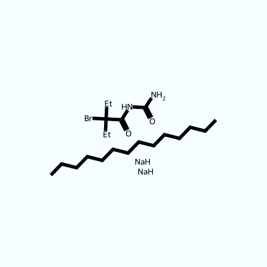 CCC(Br)(CC)C(=O)NC(N)=O.CCCCCCCCCCCCCC.[NaH].[NaH]